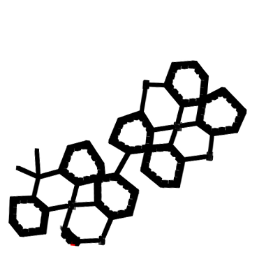 CC1(C)c2ccccc2[Si]2(c3ccccc3Sc3ccc(-c4ccc5c(c4)[Si]4(c6ccccc6Sc6ccccc64)c4ccccc4S5)cc32)c2ccccc21